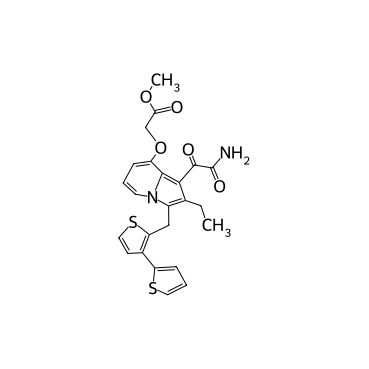 CCc1c(C(=O)C(N)=O)c2c(OCC(=O)OC)cccn2c1Cc1sccc1-c1cccs1